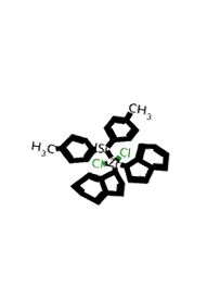 Cc1ccc([SiH](c2ccc(C)cc2)[Zr]([Cl])([Cl])([CH]2C=Cc3ccccc32)[CH]2C=Cc3ccccc32)cc1